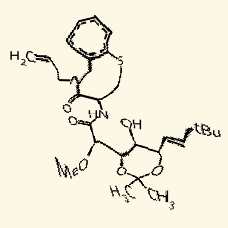 C=CCN1C(=O)C(NC(=O)[C@H](OC)[C@@H]2OC(C)(C)O[C@H](/C=C/C(C)(C)C)[C@@H]2O)CSc2ccccc21